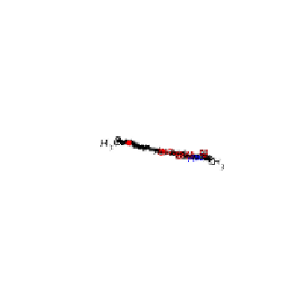 CCCCCCCCCCCCCCCCOCCOCCOCCOCCNC(=O)CCC